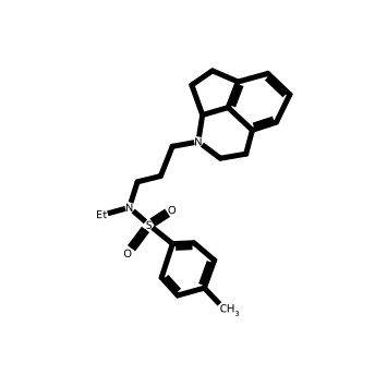 CCN(CCCN1CCc2cccc3c2C1CC3)S(=O)(=O)c1ccc(C)cc1